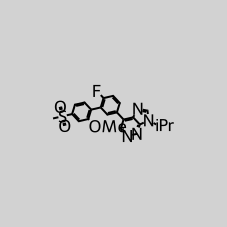 COc1cc(S(C)(=O)=O)ccc1-c1cc(-c2cnnc3c2ncn3C(C)C)ccc1F